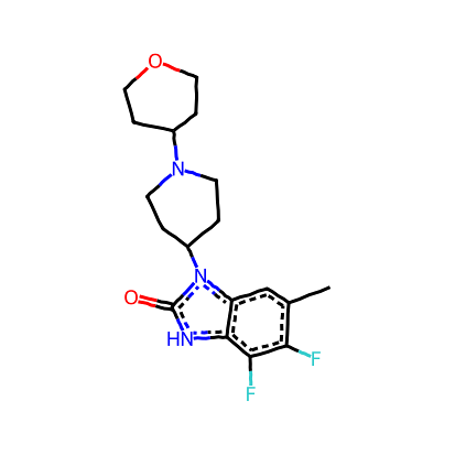 Cc1cc2c([nH]c(=O)n2C2CCN(C3CCOCC3)CC2)c(F)c1F